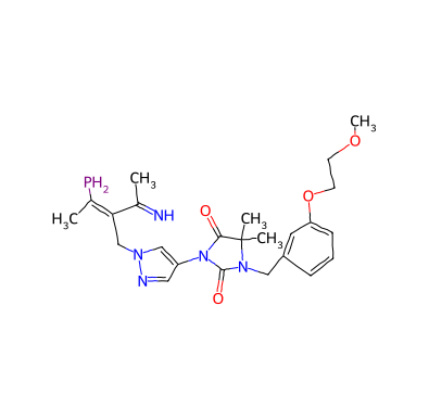 COCCOc1cccc(CN2C(=O)N(c3cnn(C/C(C(C)=N)=C(\C)P)c3)C(=O)C2(C)C)c1